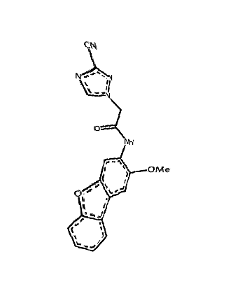 COc1cc2c(cc1NC(=O)Cn1cnc(C#N)n1)oc1ccccc12